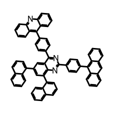 c1ccc2c(-c3cc(-c4cccc5ccccc45)c4nc(-c5ccc(-c6c7ccccc7cc7ccccc67)cc5)nc(-c5ccc(-c6c7ccccc7nc7ccccc67)cc5)c4c3)cccc2c1